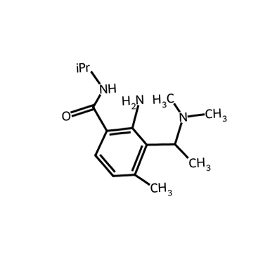 Cc1ccc(C(=O)NC(C)C)c(N)c1C(C)N(C)C